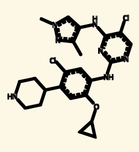 Cc1nn(C)cc1Nc1nc(Nc2cc(Cl)c(C3CCNCC3)cc2OC2CC2)ncc1Cl